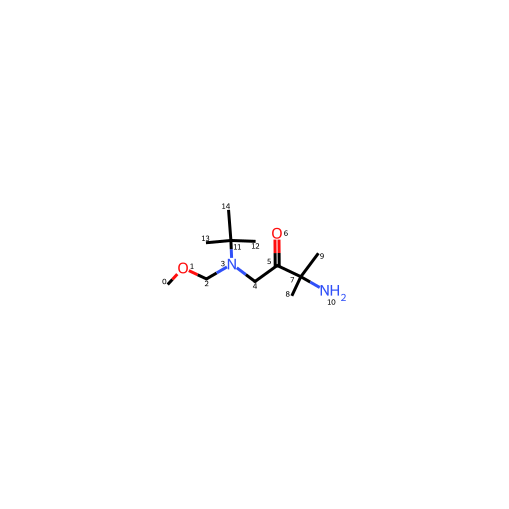 COCN(CC(=O)C(C)(C)N)C(C)(C)C